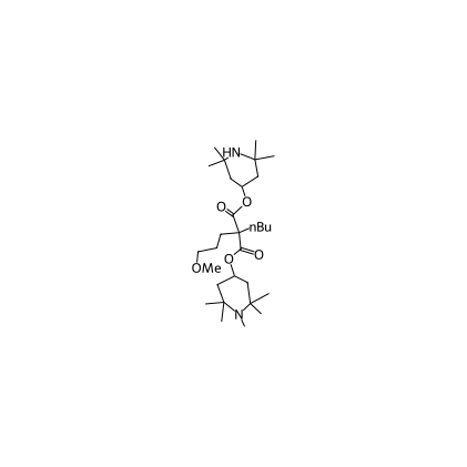 CCCCC(CCCOC)(C(=O)OC1CC(C)(C)NC(C)(C)C1)C(=O)OC1CC(C)(C)N(C)C(C)(C)C1